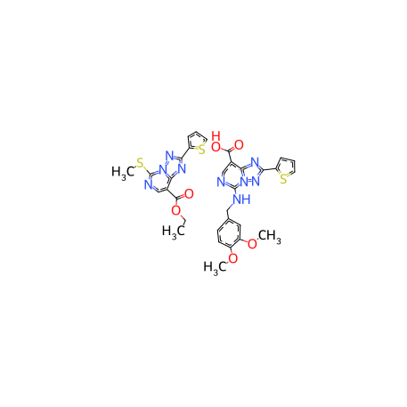 CCOC(=O)c1cnc(SC)n2nc(-c3cccs3)nc12.COc1ccc(CNc2ncc(C(=O)O)c3nc(-c4cccs4)nn23)cc1OC